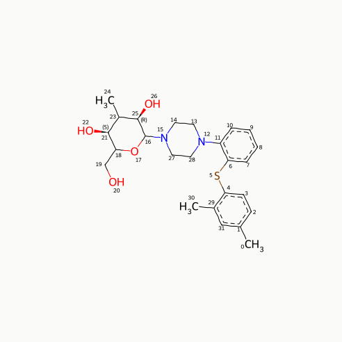 Cc1ccc(Sc2ccccc2N2CCN(C3OC(CO)[C@@H](O)C(C)[C@H]3O)CC2)c(C)c1